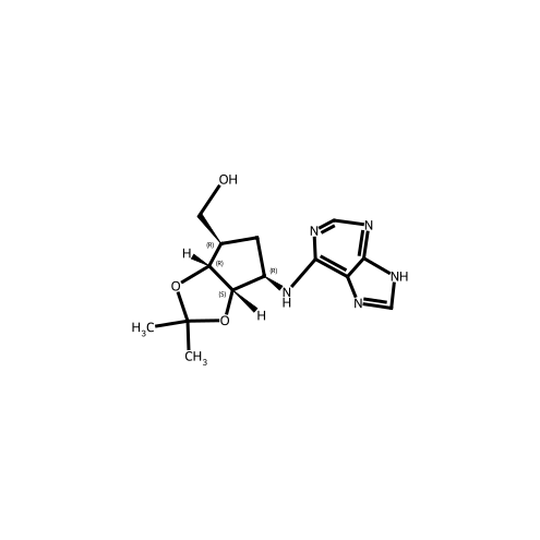 CC1(C)O[C@@H]2[C@@H](CO)C[C@@H](Nc3ncnc4[nH]cnc34)[C@@H]2O1